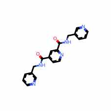 O=C(NCc1cccnc1)c1ccnc(C(=O)NCc2cccnc2)c1